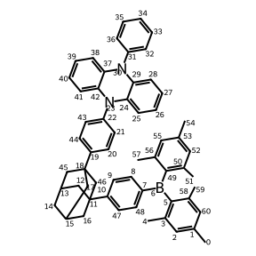 Cc1cc(C)c(B(c2ccc(C34CC5CC(C3)CC(c3ccc(N6c7ccccc7N(c7ccccc7)c7ccccc76)cc3)(C5)C4)cc2)c2c(C)cc(C)cc2C)c(C)c1